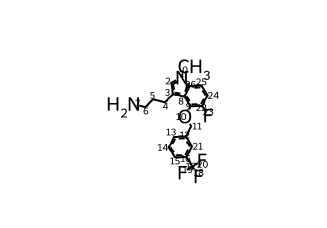 Cn1cc(CCCN)c2c(OCc3cccc(C(F)(F)F)c3)c(F)ccc21